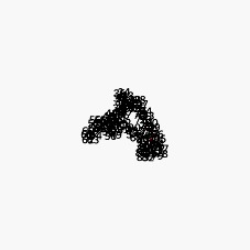 c1ccc(-c2ccc(-c3ccc(C4(c5cccc(-c6ccc(-c7ccc(-c8cccc(-n9c%10ccccc%10c%10cc(-c%11ccc%12c(c%11)c%11ccccc%11n%12-c%11cccc(-c%12ccccc%12)c%11)ccc%109)c8)cc7)cc6)c5)c5ccccc5-c5ccccc54)cc3)cc2)cc1